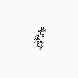 CCNC(=O)C(=O)[C@H]1CCC(=O)N1Cc1ccc(Cl)cc1